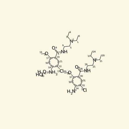 CCN(CC)CCNC(=O)c1cc(Cl)c(N)cc1OC.CCN(CC)CCNC(=O)c1cc(Cl)c(N)cc1OC.Cl.O